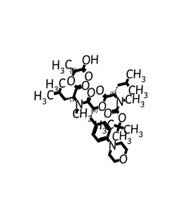 CC(C)C[C@@H](C(=O)O[C@H](Cc1ccc(N2CCOCC2)cc1)C(=O)N(C)[C@@H](CC(C)C)C(=O)O[C@H](C)C(=O)O)N(C)C(=O)OC(C)(C)C